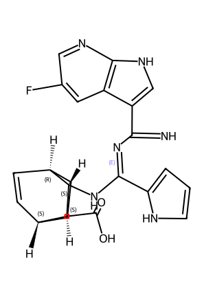 N=C(/N=C(/N[C@@H]1[C@@H](C(=O)O)[C@@H]2C=C[C@H]1CC2)c1ccc[nH]1)c1c[nH]c2ncc(F)cc12